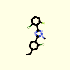 CCc1ccc(-c2nc(-c3c(F)cccc3Cl)nn2C)c(Cl)c1